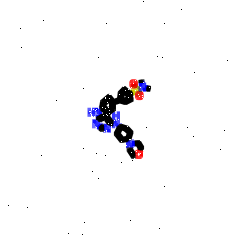 CN(C)S(=O)(=O)c1ccc(-c2ccc3[nH]c4ncnc(NC5CCC(N6CCOCC6)CC5)c4c3c2)cc1